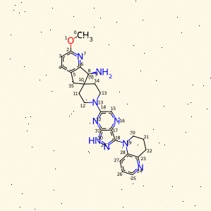 COc1ccc2c(n1)[C@@H](N)C1(CCN(c3cnc4c(N5CCCc6ncccc65)n[nH]c4n3)CC1)C2